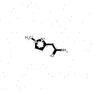 Cn1ccc(CC(N)=O)n1